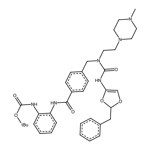 CN1CCN(CCN(Cc2ccc(C(=O)Nc3ccccc3NC(=O)OC(C)(C)C)cc2)C(=O)NC2=COC(Cc3ccccc3)O2)CC1